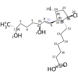 C[C@@H](O)CCC[C@H](O)/C=C/[C@@H]1[C@@H](CCCCCCC(=O)O)[C@H](Cl)C[C@H]1I